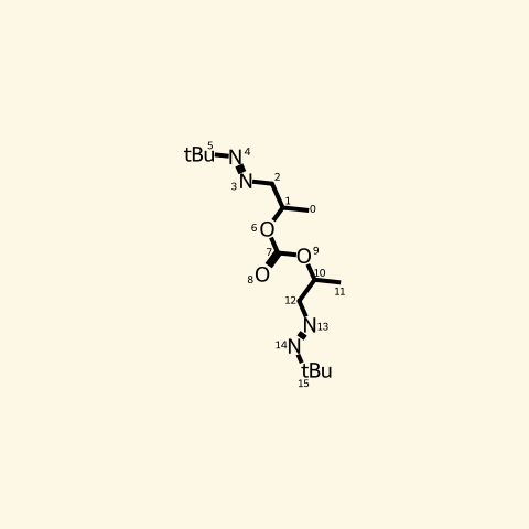 CC(CN=NC(C)(C)C)OC(=O)OC(C)CN=NC(C)(C)C